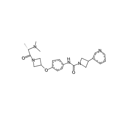 C[C@@H](C(=O)N1CC(Oc2ccc(NC(=O)N3CC(c4cccnc4)C3)cc2)C1)N(C)C